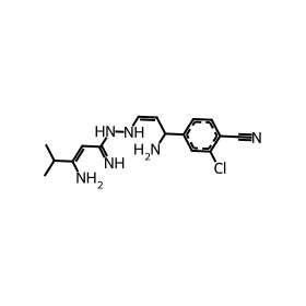 CC(C)/C(N)=C/C(=N)NN/C=C\C(N)c1ccc(C#N)c(Cl)c1